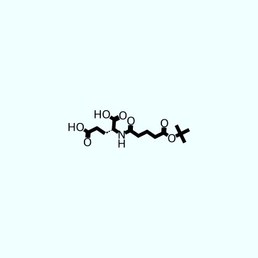 CC(C)(C)OC(=O)CCCC(=O)N[C@H](CCC(=O)O)C(=O)O